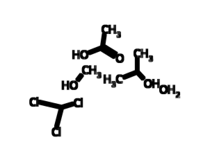 CC(=O)O.CC(C)O.CO.ClC(Cl)Cl.O